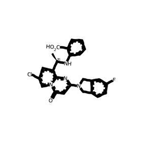 C[C@@H](Nc1ccccc1C(=O)O)c1cc(Cl)cn2c(=O)cc(N3Cc4ccc(F)cc4C3)nc12